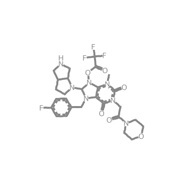 Cn1c2c(c(=O)n(CC(=O)N3CCOCC3)c1=O)N(Cc1ccc(F)cc1)C(N1CCC3CNCC31)N2OC(=O)C(F)(F)F